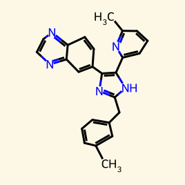 Cc1cccc(Cc2nc(-c3ccc4nccnc4c3)c(-c3cccc(C)n3)[nH]2)c1